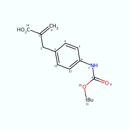 C=C(Cc1ccc(NC(=O)OC(C)(C)C)cc1)C(=O)O